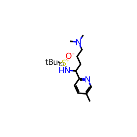 Cc1ccc(C(CCCN(C)C)N[S@+]([O-])C(C)(C)C)nc1